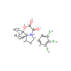 CC1(C)OC(=O)C(=O)N2[C@H](c3cc(F)c(F)c(F)c3)CC[C@@H]21